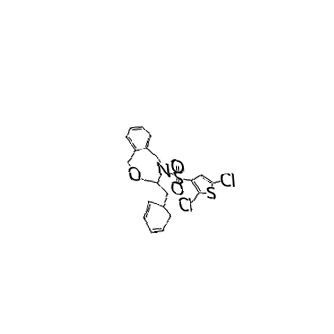 O=S(=O)(c1cc(Cl)sc1Cl)N1Cc2ccccc2COCC1CC1C=CC=CC1